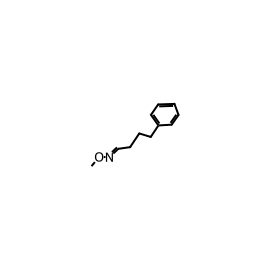 CON=CCCCc1ccccc1